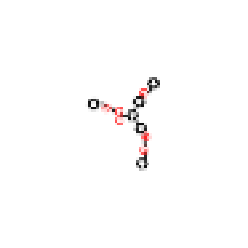 O=C(OCCOCc1ccccc1)c1cc(-c2ccc(OCCOCc3ccccc3)cc2)cc(-c2ccc(OCc3ccccc3)cc2)c1